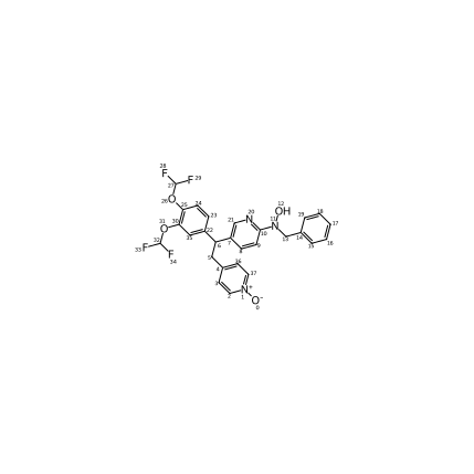 [O-][n+]1ccc(CC(c2ccc(N(O)Cc3ccccc3)nc2)c2ccc(OC(F)F)c(OC(F)F)c2)cc1